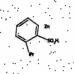 CC(C)c1ccccc1S(=O)(=O)O.[Zn]